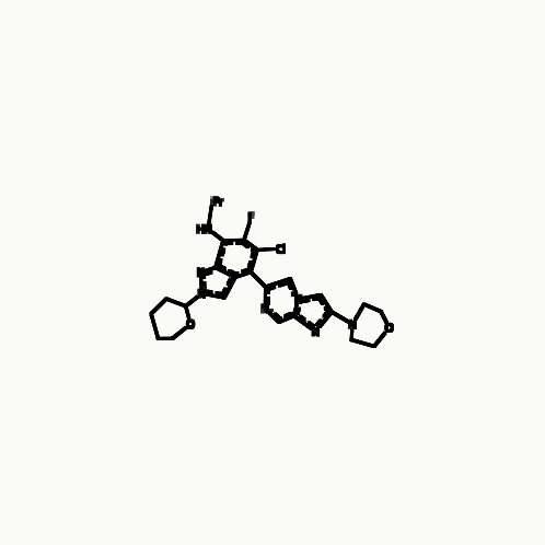 CC(C)Nc1c(F)c(Cl)c(-c2cn3cc(N4CCOCC4)nc3cn2)c2cn(C3CCCCO3)nc12